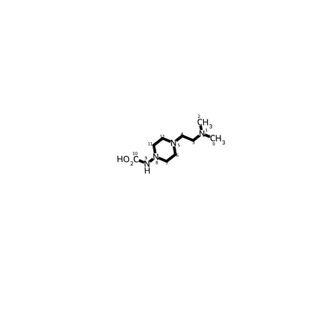 CN(C)CCN1CCN(NC(=O)O)CC1